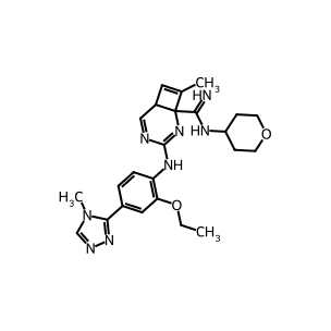 CCOc1cc(-c2nncn2C)ccc1NC1=NC2(C(=N)NC3CCOCC3)C(C)=CC2C=N1